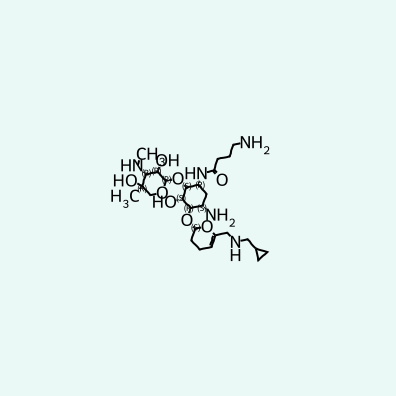 CN[C@@H]1[C@@H](O)[C@@H](O[C@@H]2[C@@H](O)[C@H](O[C@@H]3CCC=C(CNCC4CC4)O3)[C@@H](N)C[C@H]2NC(=O)CCCN)OC[C@]1(C)O